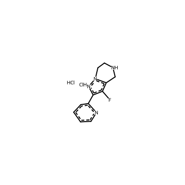 Cl.Cl.Fc1c(-c2ccccn2)nn2c1CNCC2